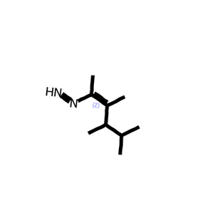 C/C(N=N)=C(\C)C(C)C(C)C